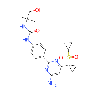 CC(C)(CO)NC(=O)Nc1ccc(-c2nc(N)cc(C3(S(=O)(=O)C4CC4)CC3)n2)cc1